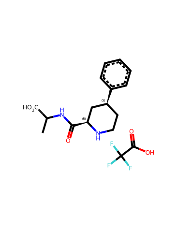 CC(NC(=O)[C@H]1C[C@@H](c2ccccc2)CCN1)C(=O)O.O=C(O)C(F)(F)F